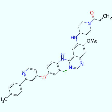 C=CC(=O)N1CCC(Nc2cc3c(Nc4ccc(Oc5ccnc(-c6ccc(C)cc6)c5)cc4F)ncnc3cc2OC)CC1